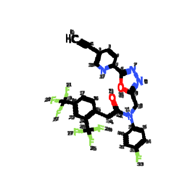 C#Cc1ccc(-c2nnc(CN(C(=O)Cc3ccc(C(F)(F)F)cc3C(F)(F)F)c3ccc(F)cc3)o2)nc1